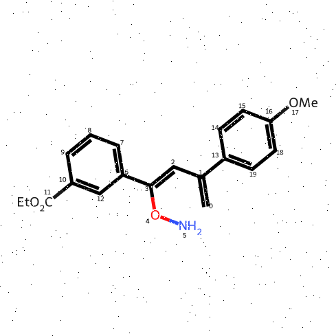 C=C(/C=C(\ON)c1cccc(C(=O)OCC)c1)c1ccc(OC)cc1